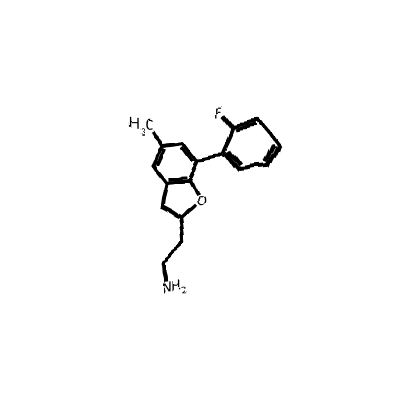 Cc1cc2c(c(-c3ccccc3F)c1)OC(CCN)C2